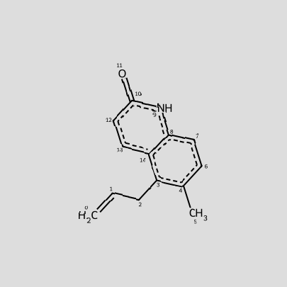 C=CCc1c(C)ccc2[nH]c(=O)ccc12